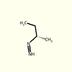 CC[C@H](C)N=N